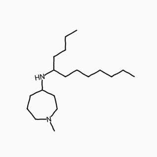 CCCCCCCC(CCCC)NC1CCCN(C)CC1